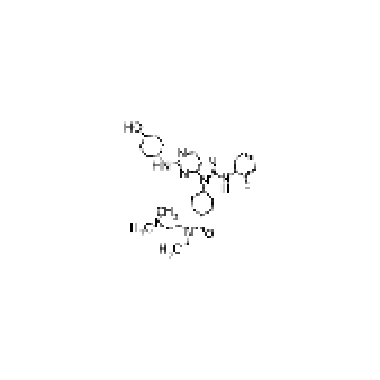 CCN(CCN(C)C)C(=O)[C@H]1CC[C@@H](n2c(Nc3ccccc3F)nc3cnc(N[C@H]4CC[C@H](O)CC4)nc32)CC1